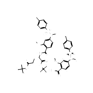 COc1cc(N(C)S(=O)(=O)c2ccc(C)cc2)ccc1C(=O)N[C@@H](CCC(=O)OC(C)(C)C)C(=O)OC(C)(C)C.COc1cc(N(C)S(=O)(=O)c2ccc(C)cc2)ccc1C(=O)O